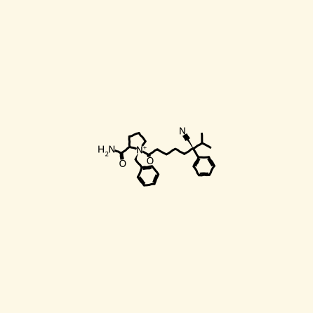 CC(C)[C@@](C#N)(CCCCC(=O)[N@@+]1(Cc2ccccc2)CCCC1C(N)=O)c1ccccc1